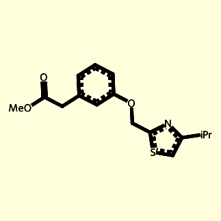 COC(=O)Cc1cccc(OCc2nc(C(C)C)cs2)c1